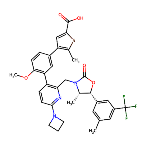 COc1ccc(-c2cc(C(=O)O)sc2C)cc1-c1ccc(N2CCC2)nc1CN1C(=O)O[C@H](c2cc(C)cc(C(F)(F)F)c2)[C@@H]1C